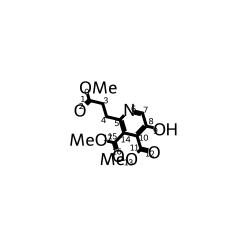 COC(=O)CCc1ncc(O)c(C(=O)OC)c1C(=O)OC